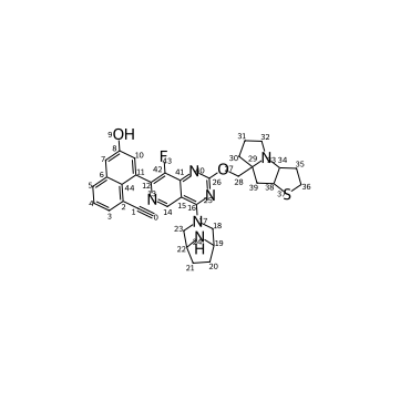 C#Cc1cccc2cc(O)cc(-c3ncc4c(N5CC6CCC(C5)N6)nc(OCC56CCCN5C5CCSC5C6)nc4c3F)c12